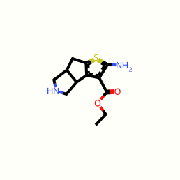 CCOC(=O)c1c(N)sc2c1C1CNCC1C2